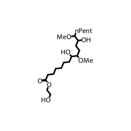 CCCCCC(OC)C(O)CCC(OC)C(O)CCCCCCC(=O)OCCO